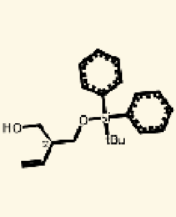 C=C[C@@H](CO)CO[Si](c1ccccc1)(c1ccccc1)C(C)(C)C